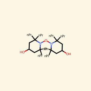 CCCC1(CCC)CC(O)CC(CCC)(CCC)N1ON1C(CCC)(CCC)CC(O)CC1(CCC)CCC